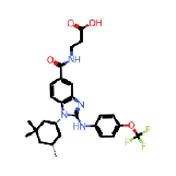 C[C@H]1C[C@@H](n2c(Nc3ccc(OC(F)(F)F)cc3)nc3cc(C(=O)NCCC(=O)O)ccc32)CC(C)(C)C1